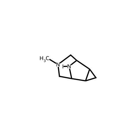 CN1CC2C3CC3C(C1)N2I